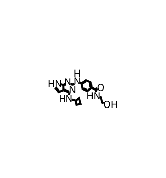 O=C(NCCO)c1ccc(Nc2nc(NC3CCC3)c3cc[nH]c3n2)cc1